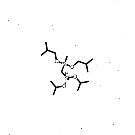 CC(C)CO[Si](C)(C[SiH](OC(C)C)OC(C)C)OCC(C)C